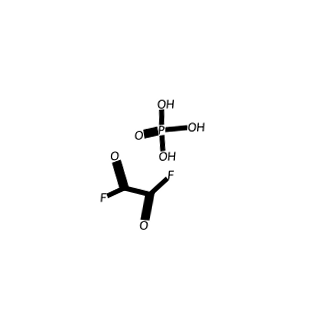 O=C(F)C(=O)F.O=P(O)(O)O